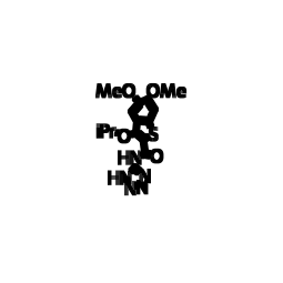 COc1cc2sc(C(=O)Nc3nnn[nH]3)c(OC(C)C)c2cc1OC